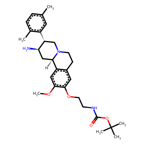 COc1cc2c(cc1OCCNC(=O)OC(C)(C)C)CCN1C[C@@H](c3cc(C)ccc3C)[C@H](N)C[C@H]21